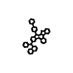 c1ccc(-c2ccc(-n3c4ccc(N(c5ccccc5)c5cccc6ccccc56)cc4c4c5ccccc5c5c6ccccc6sc5c43)cc2)cc1